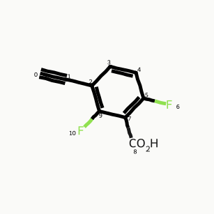 C#Cc1ccc(F)c(C(=O)O)c1F